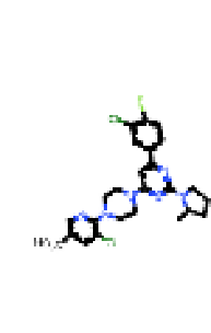 CC1CCCN1c1nc(-c2ccc(F)c(Cl)c2)cc(N2CCN(c3ncc(C(=O)O)cc3Cl)CC2)n1